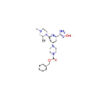 CC[C@H]1CN(C)CCN1c1cc(N2CCN(C(=O)OCc3ccccc3)CC2)cc(/C(N)=N/O)n1